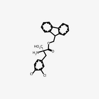 N[C@@](Cc1ccc(Cl)c(Cl)c1)(C(=O)O)C(=O)OCC1c2ccccc2-c2ccccc21